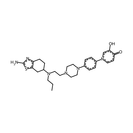 CCCN(CCN1CCN(c2ccc(-n3ccc(=O)c(O)c3)cc2)CC1)C1CCc2nc(N)sc2C1